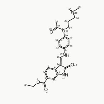 CCOC(=O)c1ccc2c(c1)NC(=O)C2=CNc1ccc(N(CCCN(C)C)C(C)=O)cc1